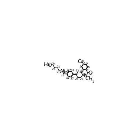 CN(C(=O)c1ccc(Cl)cc1)C1CCC(c2ccc(CNCCCCO)cc2)CC1